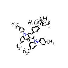 Cc1ccc(N2c3ccc(C)cc3B3c4cc(C)ccc4N(c4ccc(C)cc4)c4cc(-c5ccc([Si](C)(C)C)cc5)cc2c43)cc1